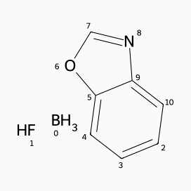 B.F.c1ccc2ocnc2c1